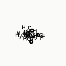 Cc1ccccc1CNC(=O)[C@H]1N(C(=O)[C@@H](O)[C@H](Cc2ccccc2)NC(=O)Nc2ccc(OC(F)F)cc2)CSC1(C)C